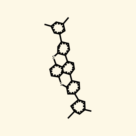 Cc1cc(C)cc(-c2ccc3c(c2)Sc2ccc4c5c(ccc-3c25)-c2ccc(-c3cc(C)cc(C)c3)cc2S4)c1